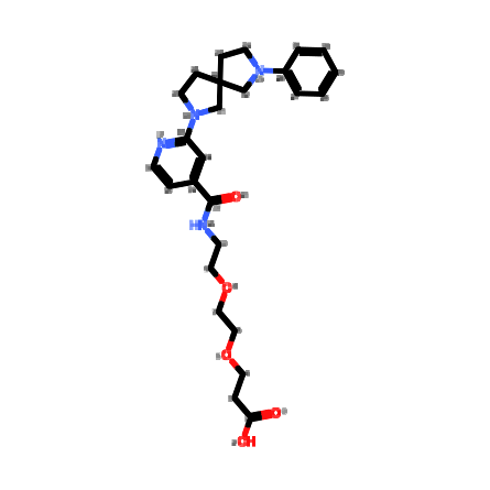 O=C(O)CCOCCOCCNC(=O)c1ccnc(N2CCC3(CCN(c4ccccc4)C3)C2)c1